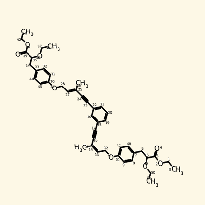 CCOC(=O)C(Cc1ccc(OCC=C(C)C#Cc2cccc(C#CC(C)=CCOc3ccc(CC(OCC)C(=O)OCC)cc3)c2)cc1)OCC